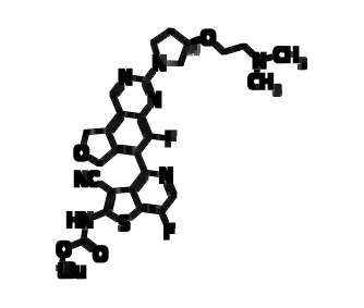 CN(C)CCO[C@@H]1CCN(c2ncc3c4c(c(-c5ncc(F)c6sc(NC(=O)OC(C)(C)C)c(C#N)c56)c(F)c3n2)COC4)C1